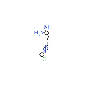 N=Cc1ccc(CCCCCN2C=CN(c3cccc(Cl)c3)CC2)cc1N